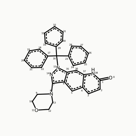 O=c1ccc2cc3c(N4CCOCC4)nn(C(c4ccccc4)(c4ccccc4)c4ccccc4)c3cc2[nH]1